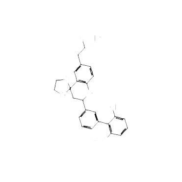 CCOC(=O)CCc1ccc2c(c1)C1(CC(c3cccc(-c4c(C)cccc4C)c3)O2)OCCO1